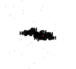 COc1cc(/N=N/c2c(S(=O)(=O)O)cc3cc(S(=O)(=O)O)cc(O)c3c2O)c(OC)cc1/N=N/c1ccc(/N=N/C2C(=O)N(c3ccc(S(=O)(=O)O)cc3)N=C2C(=O)O)cc1S(=O)(=O)O